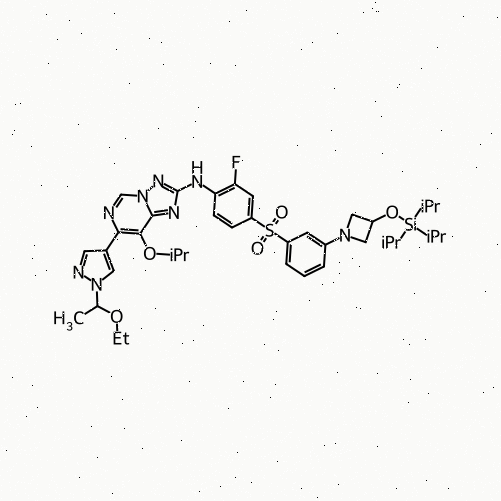 CCOC(C)n1cc(-c2ncn3nc(Nc4ccc(S(=O)(=O)c5cccc(N6CC(O[Si](C(C)C)(C(C)C)C(C)C)C6)c5)cc4F)nc3c2OC(C)C)cn1